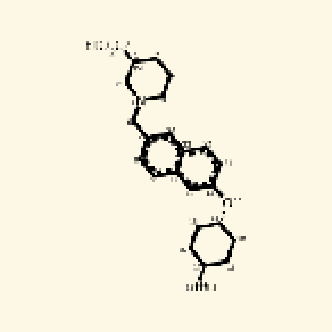 CCOC(=O)[C@H]1CCCN(Cc2ccc3cc(O[C@H]4CC[C@H](C(C)(C)C)CC4)ccc3c2)C1